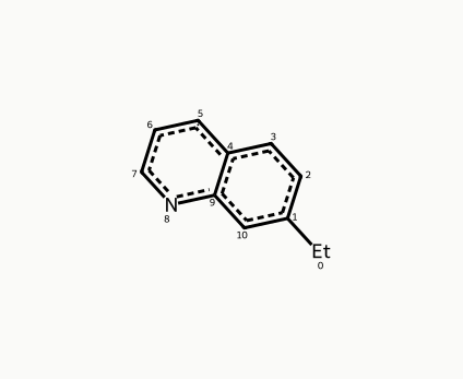 CCc1ccc2[c]ccnc2c1